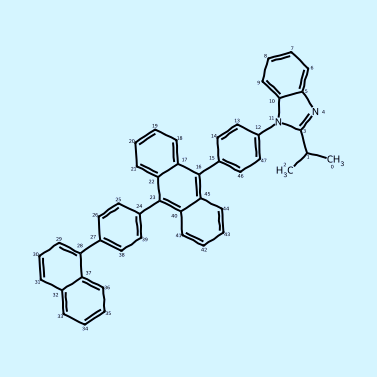 CC(C)c1nc2ccccc2n1-c1ccc(-c2c3ccccc3c(-c3ccc(-c4cccc5ccccc45)cc3)c3ccccc23)cc1